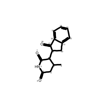 CC1CC(=O)NC(=O)C1C1Cc2ccccc2C1=O